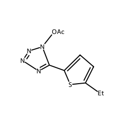 CCc1ccc(-c2nnnn2OC(C)=O)s1